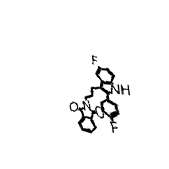 O=C1c2ccccc2C(=O)N1CCCc1c(-c2ccc(F)cc2)[nH]c2ccc(F)cc12